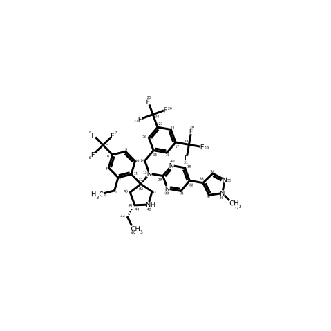 CCc1cc(C(F)(F)F)ccc1[C@]1(N(Cc2cc(C(F)(F)F)cc(C(F)(F)F)c2)c2ncc(-c3cnn(C)c3)cn2)CN[C@H](CC)C1